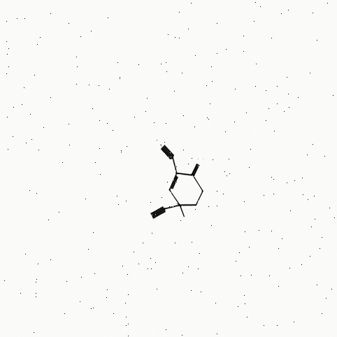 C#CC1(C)C=C(C#N)C(=O)CC1